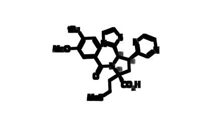 COc1cc(C(=O)N2[C@@H](c3nccs3)[C@@H](c3cnccn3)C[C@@]2(CCSC)C(=O)O)ccc1C(C)(C)C